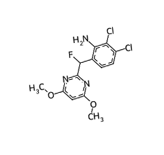 COc1cc(OC)nc(C(F)c2ccc(Cl)c(Cl)c2N)n1